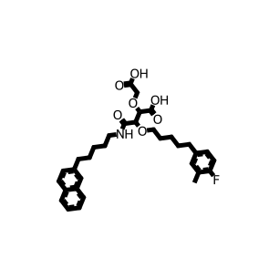 Cc1cc(CCCCCOC(C(=O)NCCCCCc2ccc3ccccc3c2)C(OCC(=O)O)C(=O)O)ccc1F